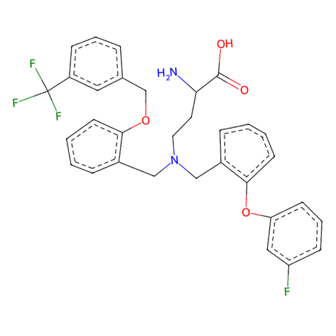 NC(CCN(Cc1ccccc1OCc1cccc(C(F)(F)F)c1)Cc1ccccc1Oc1cccc(F)c1)C(=O)O